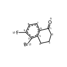 O=C1CCCc2c1ccc(F)c2Br